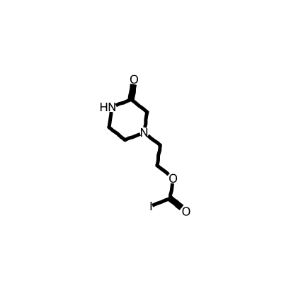 O=C1CN(CCOC(=O)I)CCN1